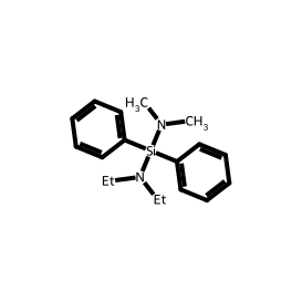 CCN(CC)[Si](c1ccccc1)(c1ccccc1)N(C)C